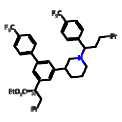 CCOC(=O)[C@H](CC(C)C)c1cc(-c2ccc(C(F)(F)F)cc2)cc(C2CCCN(C(CCC(C)C)c3ccc(C(F)(F)F)cc3)C2)c1